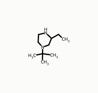 CCC1CN(C(C)(C)C)CCN1